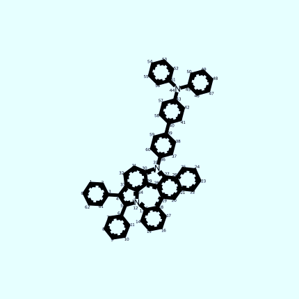 c1ccc(-c2c(-c3ccccc3)n3c4ccccc4c4cc5ccccc5c5c4c4c(ccc2c43)n5-c2ccc(-c3ccc(N(c4ccccc4)c4ccccc4)cc3)cc2)cc1